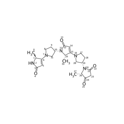 C[C@@H]1NC(=O)C=C1N1CC[C@H](N2C(=O)C=C(N3CC[C@H](N4C(=O)CC(=O)[C@@H]4C)C3)[C@@H]2C)C1